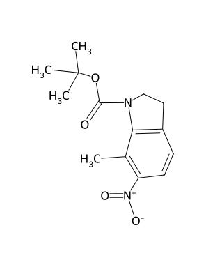 Cc1c([N+](=O)[O-])ccc2c1N(C(=O)OC(C)(C)C)CC2